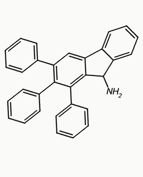 NC1c2ccccc2-c2cc(-c3ccccc3)c(-c3ccccc3)c(-c3ccccc3)c21